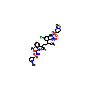 CC(=O)N1CCCC(S(=O)(=O)NC(=O)Nc2c(C(C)C)cccc2C(C)CCC(C)c2cc(Cl)cc(C(C)C)c2NC(=O)NS(=O)(=O)C2CCCN(C)C2)C1